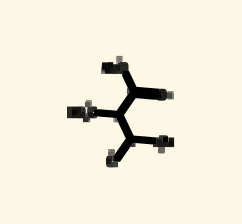 CCCCC(Cl)C(C(=O)O)C(=O)OC